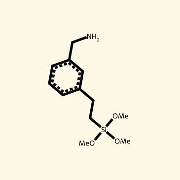 CO[Si](CCc1cccc(CN)c1)(OC)OC